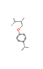 CC(C)c1ccc(OCC(C)C(C)C)cc1